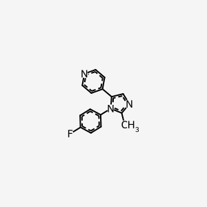 Cc1ncc(-c2ccncc2)n1-c1ccc(F)cc1